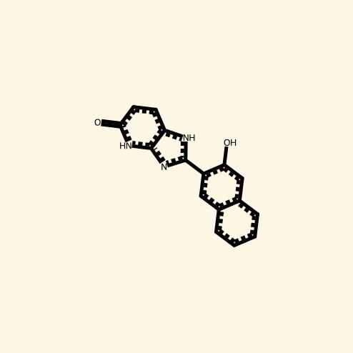 O=c1ccc2[nH]c(-c3cc4ccccc4cc3O)nc2[nH]1